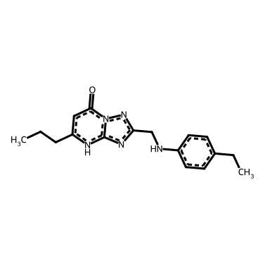 CCCc1cc(=O)n2nc(CNc3ccc(CC)cc3)nc2[nH]1